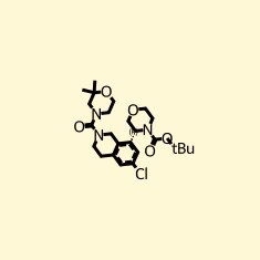 CC(C)(C)OC(=O)N1CCOC[C@H]1c1cc(Cl)cc2c1CN(C(=O)N1CCOC(C)(C)C1)CC2